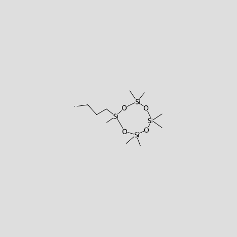 [CH2]CCC[Si]1(C)O[Si](C)(C)O[Si](C)(C)O[Si](C)(C)O1